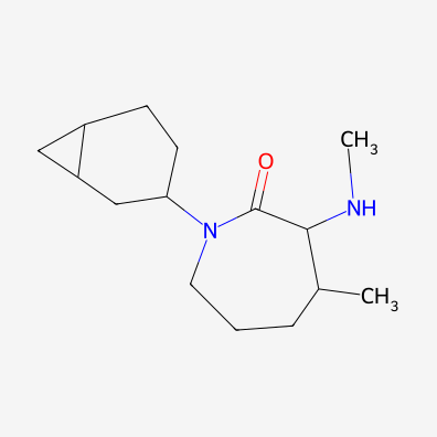 CNC1C(=O)N(C2CCC3CC3C2)CCCC1C